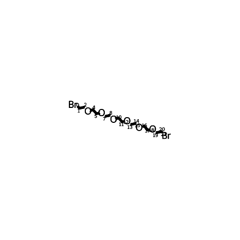 BrCCOCCOCCOCCOCCOCCOCCBr